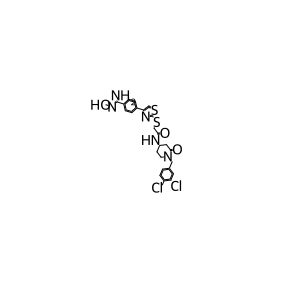 NC(=NO)c1ccc(-c2csc(SCC(=O)NC3CCN(Cc4ccc(Cl)c(Cl)c4)C(=O)C3)n2)cc1